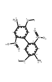 COc1cc(-c2cc(OC)c(N)cc2[N+](=O)[O-])c([N+](=O)[O-])cc1N